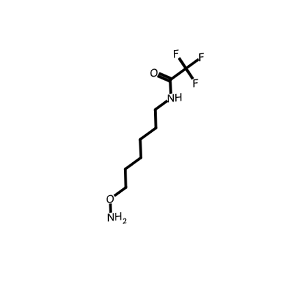 NOCCCCCCNC(=O)C(F)(F)F